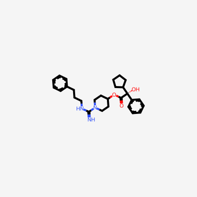 N=C(NCCCc1ccccc1)N1CCC(OC(=O)[C@](O)(c2ccccc2)C2CCCC2)CC1